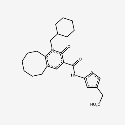 O=C(O)Cc1csc(NC(=O)c2cc3c(n(CC4CCCCC4)c2=O)CCCCCC3)c1